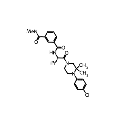 CNC(=O)c1cccc(C(=O)N[C@@H](C(=O)N2CCN(c3ccc(Cl)cc3)C(C)(C)C2)C(C)C)c1